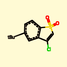 CC(C)(C)c1ccc2c(c1)C(Cl)=CS2(=O)=O